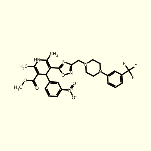 COC(=O)C1=C(C)NC(C)=C(c2nc(CN3CCN(c4cccc(C(F)(F)F)c4)CC3)no2)C1c1cccc([N+](=O)[O-])c1